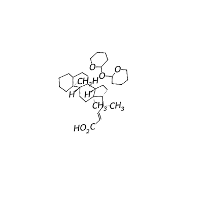 C1CCC(OC2CCCCO2)OC1.C[C@H](C=CC(=O)O)[C@H]1CC[C@H]2[C@@H]3CCC4CCCC[C@]4(C)[C@H]3CC[C@]12C